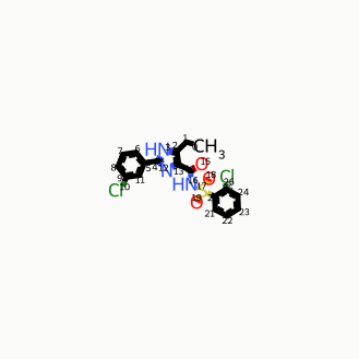 CCc1[nH]c(-c2cccc(Cl)c2)nc1C(=O)NS(=O)(=O)c1ccccc1Cl